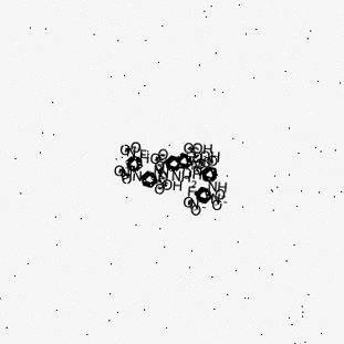 Nc1c(N=Nc2cc(Nc3cc(F)c([N+](=O)[O-])cc3[N+](=O)[O-])ccc2S(=O)(=O)O)c(S(=O)(=O)O)cc2cc(S(=O)(=O)O)c(N=Nc3cc(Nc4cc(F)c([N+](=O)[O-])cc4[N+](=O)[O-])ccc3S(=O)(=O)O)c(O)c12